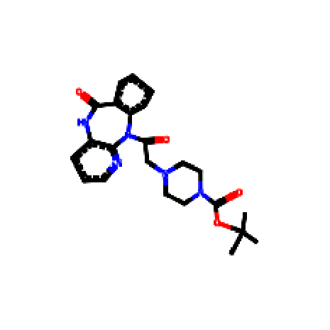 CC(C)(C)OC(=O)N1CCN(CC(=O)N2c3ccccc3C(=O)Nc3cccnc32)CC1